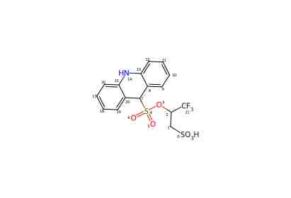 O=S(=O)(O)CC(OS(=O)(=O)C1c2ccccc2Nc2ccccc21)C(F)(F)F